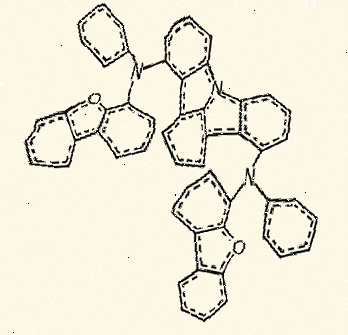 c1ccc(N(c2cccc3c2oc2ccccc23)c2cccc3c2c2cccc4c5c(N(c6ccccc6)c6cccc7c6oc6ccccc67)cccc5n3c24)cc1